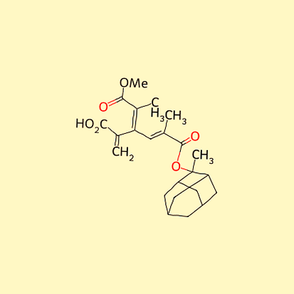 C=C(C(=O)O)C(C=C(C)C(=O)OC1(C)C2CC3CC(C2)CC1C3)=C(C)C(=O)OC